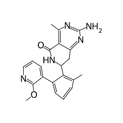 COc1ncccc1-c1cccc(C)c1C1Cc2nc(N)nc(C)c2C(=O)N1